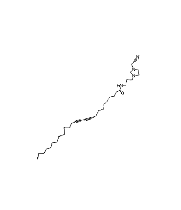 CCCCCCCCCCCCC#CC#CCCCCCCCCC(=O)NCCCN1CCN(CC#N)C1